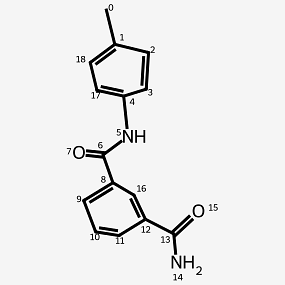 Cc1ccc(NC(=O)c2cccc(C(N)=O)c2)cc1